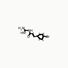 N=C(N)NC(=O)C=Cc1ccc(Br)cc1